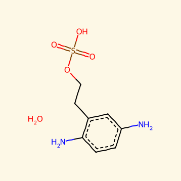 Nc1ccc(N)c(CCOS(=O)(=O)O)c1.O